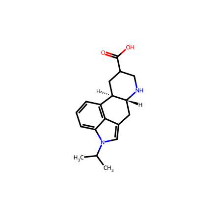 CC(C)n1cc2c3c(cccc31)[C@H]1CC(C(=O)O)CN[C@@H]1C2